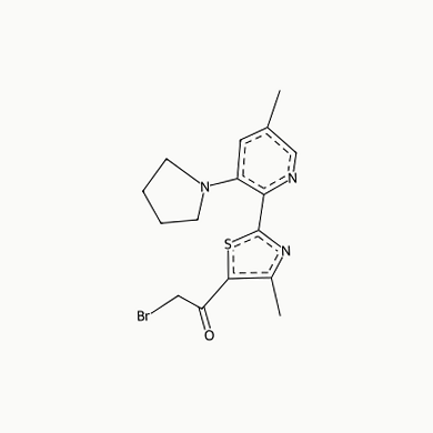 Cc1cnc(-c2nc(C)c(C(=O)CBr)s2)c(N2CCCC2)c1